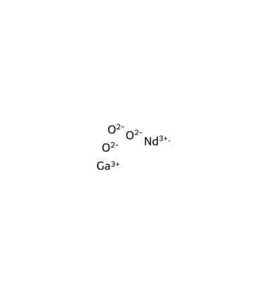 [Ga+3].[Nd+3].[O-2].[O-2].[O-2]